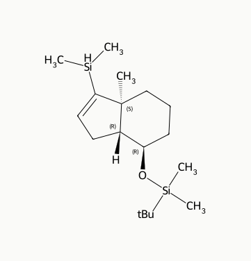 C[SiH](C)C1=CC[C@H]2[C@H](O[Si](C)(C)C(C)(C)C)CCC[C@]12C